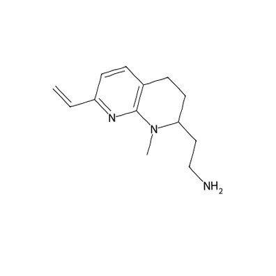 C=Cc1ccc2c(n1)N(C)C(CCN)CC2